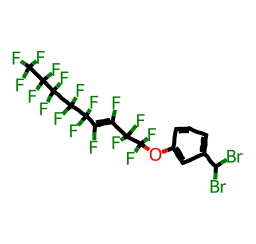 FC(=C(F)C(F)(F)C(F)(F)C(F)(F)C(F)(F)C(F)(F)F)C(F)(F)C(F)(F)Oc1cccc(C(Br)Br)c1